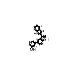 Oc1cncc(-c2cnc3[nH]nc(-c4cc5cccnc5[nH]4)c3c2)c1